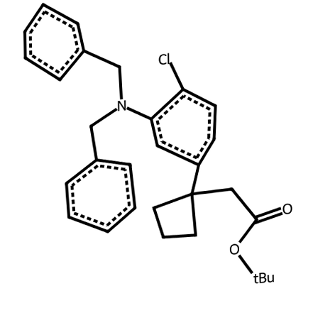 CC(C)(C)OC(=O)CC1(c2ccc(Cl)c(N(Cc3ccccc3)Cc3ccccc3)c2)CCC1